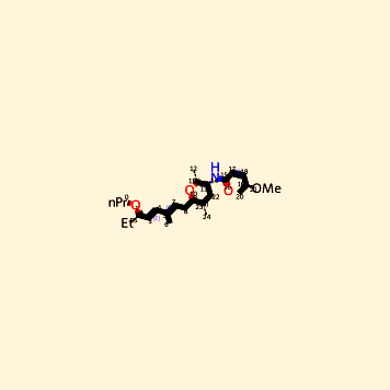 CCCO[C@H](/C=C/C(C)=C/CC1O[C@H](C)[C@H](NC(=O)/C=C\[C@H](C)OC)C[C@@H]1C)CC